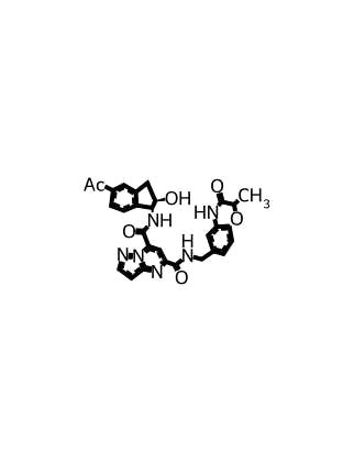 CC(=O)c1ccc2c(c1)C[C@@H](O)[C@@H]2NC(=O)c1cc(C(=O)NCc2ccc3c(c2)NC(=O)C(C)O3)nc2ccnn12